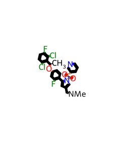 CNCc1cc(-c2ccc(O[C@@H](C)c3c(Cl)ccc(F)c3Cl)cc2F)n(S(=O)(=O)c2cccnc2)c1